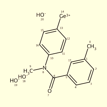 Cc1cccc(C(=O)N(C)c2cc[c]([Ge+3])cc2)c1.[OH-].[OH-].[OH-]